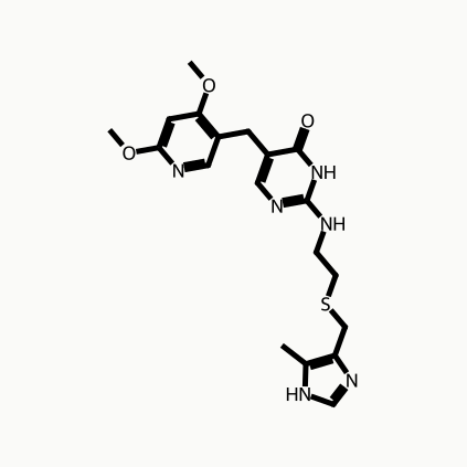 COc1cc(OC)c(Cc2cnc(NCCSCc3nc[nH]c3C)[nH]c2=O)cn1